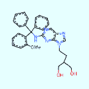 COc1ccccc1C(Nc1ncc2ncn(CCC(CO)CO)c2n1)(c1ccccc1)c1ccccc1